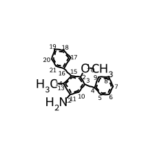 COc1c(-c2ccccc2)cc(N)c(C)c1-c1ccccc1